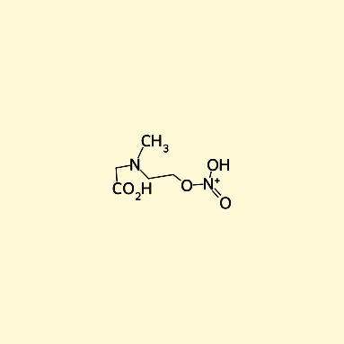 CN(CCO[N+](=O)O)CC(=O)O